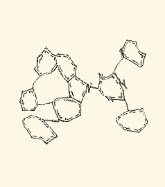 c1ccc(-c2nc(-c3ccccc3)nc(-n3c4ccc(-c5ccccc5)c5c4c4c6c(cccc6ccc43)-c3ccccc3-5)n2)cc1